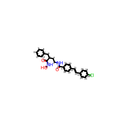 O=C(NCCC(Cc1ccccc1)C(=O)NO)c1ccc(C=Cc2ccc(Cl)cc2)cc1